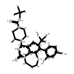 C[C@H]1CN(C(=O)OC(C)(C)C)CCN1c1nc(=O)n2c3c(c(-c4ccc(F)cc4F)c(C(F)(F)F)cc13)SCCC2